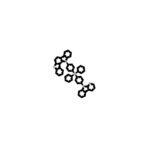 c1ccc([Si](c2ccccc2)(c2ccc(-n3c4ccccc4c4cccnc43)cc2)c2ccc(-n3c4ccccc4c4ccc5oc6ccccc6c5c43)cc2)cc1